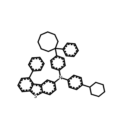 c1ccc(-c2cccc3sc4ccc(N(c5ccc(C6CCCCC6)cc5)c5ccc(C6(c7ccccc7)CCCCCCC6)cc5)cc4c23)cc1